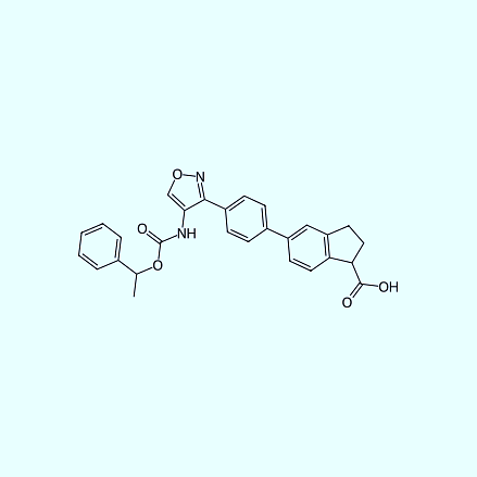 CC(OC(=O)Nc1conc1-c1ccc(-c2ccc3c(c2)CCC3C(=O)O)cc1)c1ccccc1